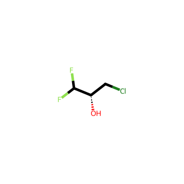 O[C@@H](CCl)C(F)F